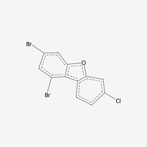 Clc1ccc2c(c1)oc1cc(Br)cc(Br)c12